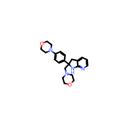 c1cnc2c(c1)CC(CN1CCOCC1)(c1ccc(N3CCOCC3)cc1)N2